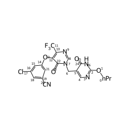 CCCOc1ncc(Cn2cnc(C(F)(F)F)c(Oc3cc(Cl)cc(C#N)c3)c2=O)c(=O)[nH]1